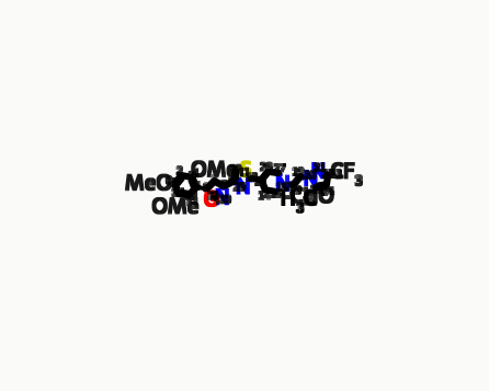 COc1cc(OC)c([C@H]2CC(c3csc(C4CCN(C(C=O)Cn5nc(C(F)(F)F)cc5C)CC4)n3)=NO2)c(OC)c1